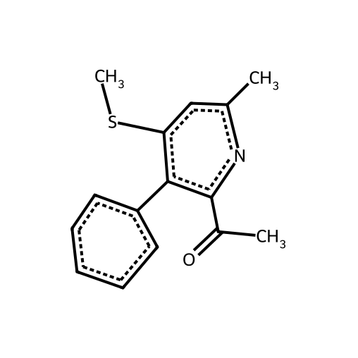 CSc1cc(C)nc(C(C)=O)c1-c1ccccc1